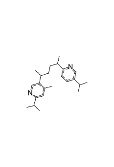 Cc1cc(C(C)C)ncc1C(C)CCC(C)c1ccc(C(C)C)cn1